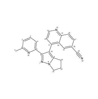 Cc1cccc(-c2nn3c(c2-c2ccnc4ccc(C#N)cc24)CCC3)n1